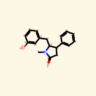 CN1C(=O)CC(c2ccccc2)C1Cc1cccc(O)c1